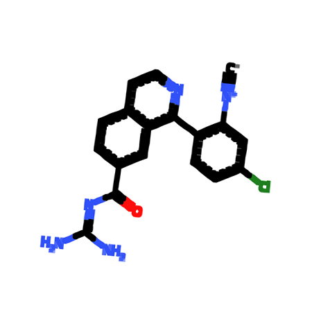 [C-]#[N+]c1cc(Cl)ccc1-c1nccc2ccc(C(=O)N=C(N)N)cc12